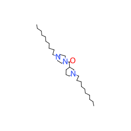 CCCCCCCCCCN1CCN(C(=O)C2CCCN(CCCCCCCCCC)C2)CC1